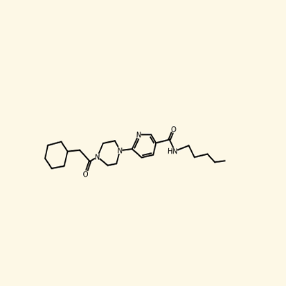 CCCCCNC(=O)c1ccc(N2CCN(C(=O)CC3CCCCC3)CC2)nc1